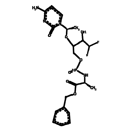 C[C@H](N[PH](=O)OCC(O[C@H](C)n1ccc(N)nc1=O)C(O)C(F)F)C(=O)OCc1ccccc1